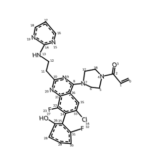 C=CC(=O)N1CCN(c2nc(CCNc3ncccn3)nc3c(F)c(-c4c(O)cccc4F)c(Cl)cc23)CC1